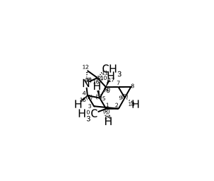 C[C@@H]1C2C[C@H]3[C@@H]1[C@@H](C1C[C@@H]21)[C@]1(C)C[N@@]31